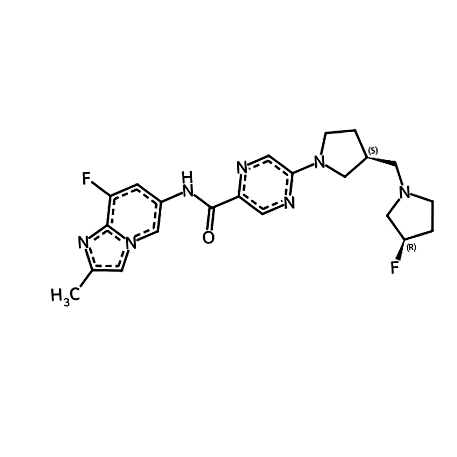 Cc1cn2cc(NC(=O)c3cnc(N4CC[C@@H](CN5CC[C@@H](F)C5)C4)cn3)cc(F)c2n1